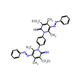 CCOC(=O)c1c(C)c(N=Nc2ccccc2)c(C)n(-c2ccc(-n3c(C)c(N=Nc4ccccc4)c(C)c(C(=O)OCC)c3=N)cc2)c1=N